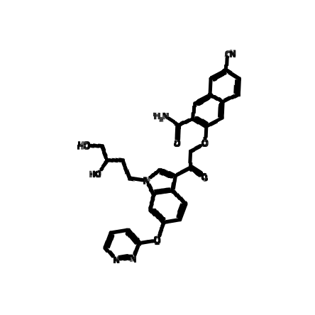 N#Cc1ccc2cc(OCC(=O)c3cn(CCC(O)CO)c4cc(Oc5cccnn5)ccc34)c(C(N)=O)cc2c1